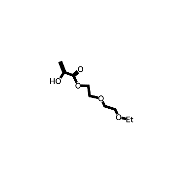 C=C(O)C(=O)OCCOCCOCC